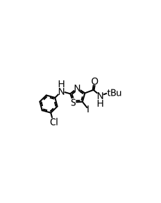 CC(C)(C)NC(=O)c1nc(Nc2cccc(Cl)c2)sc1I